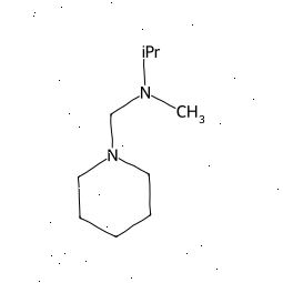 CC(C)N(C)CN1CCCCC1